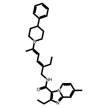 CC/C(=C\C=C(/C)N1CCC(c2ccccc2)CC1)CNC(=O)c1c(CC)nc2cc(C)ccn12